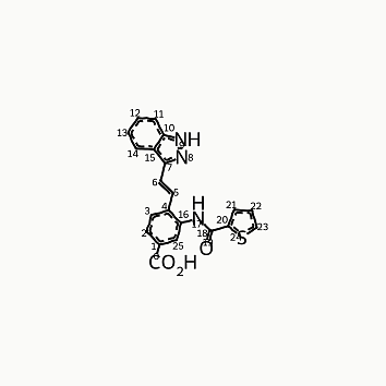 O=C(O)c1ccc(C=Cc2n[nH]c3ccccc23)c(NC(=O)c2cccs2)c1